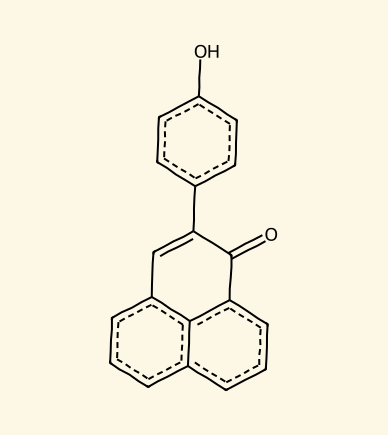 O=C1C(c2ccc(O)cc2)=Cc2cccc3cccc1c23